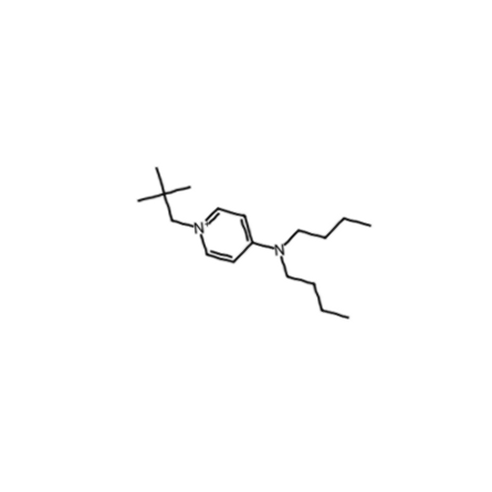 CCCCN(CCCC)c1cc[n+](CC(C)(C)C)cc1